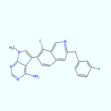 Cn1cc(-c2ccc3cc(Cc4cccc(F)c4)ncc3c2F)c2c(N)ncnc21